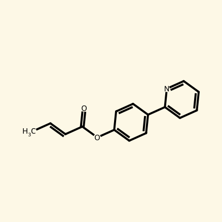 CC=CC(=O)Oc1ccc(-c2ccccn2)cc1